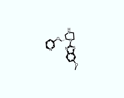 COc1ccc2nc(N3CCNC[C@H]3COc3cccnc3)sc2c1